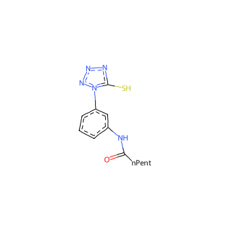 CCCCCC(=O)Nc1cccc(-n2nnnc2S)c1